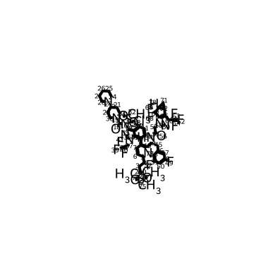 CC(C)(CCc1ccc(-c2ccc(Cl)c3c(N(C(=O)N4CCC(N5CCCCC5)CC4)S(C)(=O)=O)nn(CC(F)(F)F)c23)c([C@H](Cc2cc(F)cc(F)c2)NC(=O)Cn2nc(C(F)(F)F)c3c2C(F)(F)[C@@H]2CC32)n1)S(C)(=O)=O